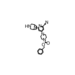 N#Cc1cc(N2CCN(C(=O)OCc3ccccc3)CC2)cc(N2C3CCC2CNC3)n1